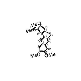 COc1ccc(C=C2CCc3cc(OC)c(OC)cc3C2=O)cc1OC